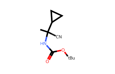 CC(C)(C)OC(=O)NC(C)(C#N)C1CC1